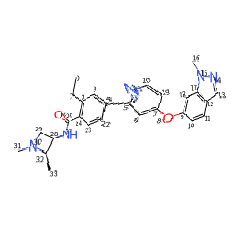 CCc1cc(-c2cc(Oc3ccc4cnn(C)c4c3)ccn2)ccc1C(=O)N[C@@H]1CN(C)[C@@H]1C